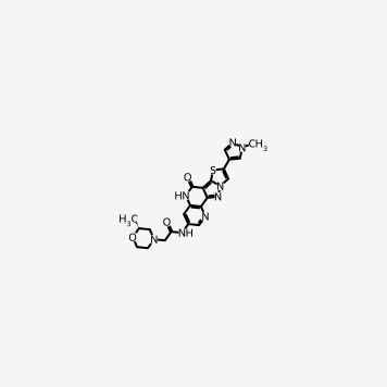 C[C@@H]1CN(CC(=O)Nc2cnc3c(c2)[nH]c(=O)c2c3nn3cc(-c4cnn(C)c4)sc23)CCO1